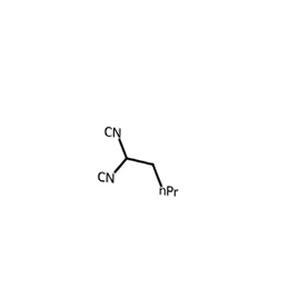 [C-]#[N+]C(CCCC)[N+]#[C-]